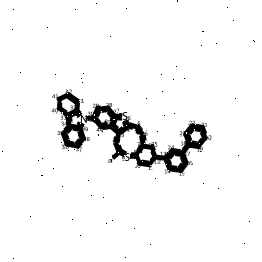 Ic1cc2c(ccc3c(s1)C=CC(c1cccc(-c4ccccc4)c1)C3)sc1ccc(-n3c4c(c5ccccc53)CCC=C4)cc12